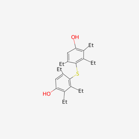 CCc1cc(O)c(CC)c(CC)c1Sc1c(CC)cc(O)c(CC)c1CC